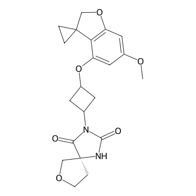 COc1cc2c(c(OC3CC(N4C(=O)N[C@]5(CCOC5)C4=O)C3)c1)C1(CC1)CO2